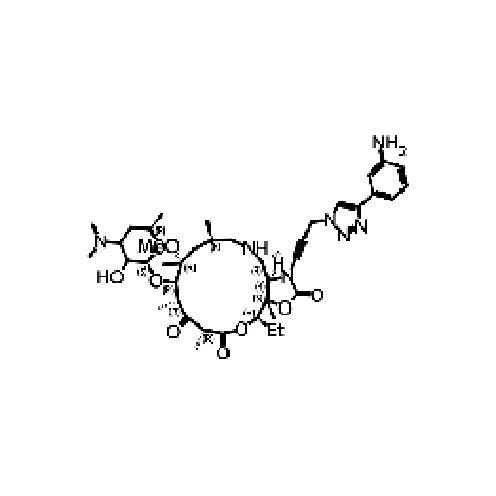 CC[C@H]1OC(=O)[C@H](C)C(=O)[C@H](C)[C@@H](O[C@@H]2O[C@H](C)CC(N(C)C)C2O)[C@](C)(OC)C[C@@H](C)CN[C@H](C)[C@H]2N(C#CCn3cc(-c4cccc(N)c4)nn3)C(=O)O[C@]12C